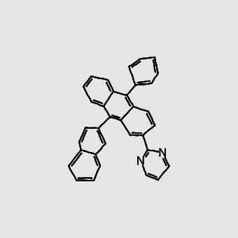 c1ccc(-c2c3ccccc3c(-c3ccc4ccccc4c3)c3cc(-c4ncccn4)ccc23)cc1